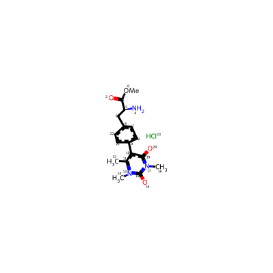 COC(=O)[C@@H](N)Cc1ccc(-c2c(C)n(C)c(=O)n(C)c2=O)cc1.Cl